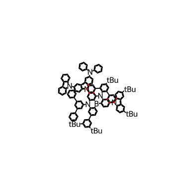 CC(C)(C)c1cc(-c2ccc3c(c2)N(c2cc(-c4ccccc4)cc(-c4ccccc4)c2)c2cc(-n4c5ccc(N(c6ccccc6)c6ccccc6)cc5c5cc(-n6c7ccccc7c7ccccc76)ccc54)cc4c2B3c2ccc(-n3c5ccc(C(C)(C)C)cc5c5cc(C(C)(C)C)ccc53)cc2N4c2c(-c3ccccc3)cc(C(C)(C)C)cc2-c2ccccc2)cc(C(C)(C)C)c1